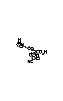 N#Cc1cc(Cl)c(C(=O)NC(CCOC2CC(CCc3ccc4c(n3)NCCC4)C2)C(=O)O)c(Cl)c1